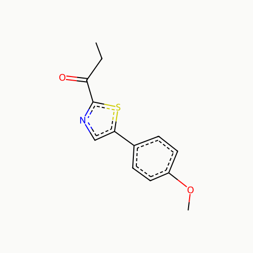 CCC(=O)c1ncc(-c2ccc(OC)cc2)s1